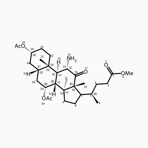 COC(=O)CC[C@@H](C)C1CC[C@@]2(C)[C@H]3[C@H]([C@H](N)C(=O)[C@]12C)[C@@]1(C)CC[C@@H](OC(C)=O)C[C@H]1C[C@H]3OC(C)=O